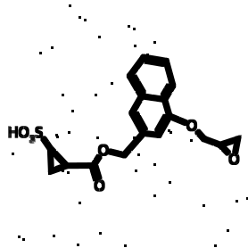 O=C(OCc1cc(OCC2CO2)c2ccccc2c1)C1CC1S(=O)(=O)O